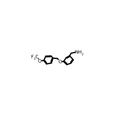 NCc1cccc(OCc2ccc(OC(F)(F)F)cc2)c1